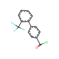 O=C(Cl)c1ccc(-c2ccccc2C(F)(F)F)cc1